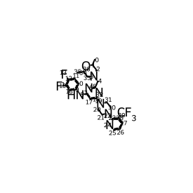 CC1CN(Cc2nc(Nc3ccc(F)c(F)c3)cc(N3CCN(c4ncccc4C(F)(F)F)CC3)n2)CC(C)O1